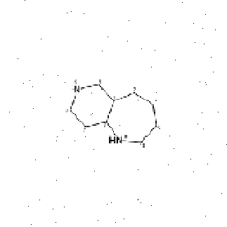 C1CCC2C[N]CCC2NC1